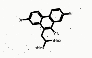 CCCCCCC(CCCCCC)Cc1c(C#N)c2cc(Br)ccc2c2ccc(Br)cc12